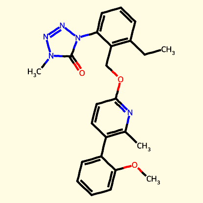 CCc1cccc(-n2nnn(C)c2=O)c1COc1ccc(-c2ccccc2OC)c(C)n1